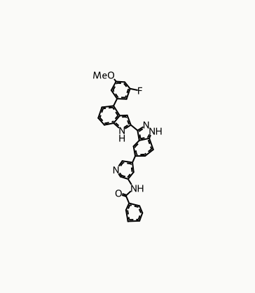 COc1cc(F)cc(-c2cccc3[nH]c(-c4n[nH]c5ccc(-c6cncc(NC(=O)c7ccccc7)c6)cc45)cc23)c1